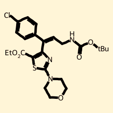 CCOC(=O)c1sc(N2CCOCC2)nc1/C(=C\CNC(=O)OC(C)(C)C)c1ccc(Cl)cc1